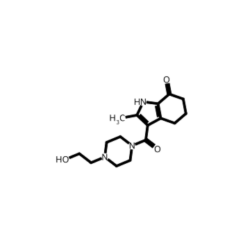 Cc1[nH]c2c(c1C(=O)N1CCN(CCO)CC1)CCCC2=O